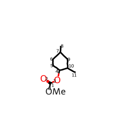 COC(=O)OC1CCC(C)CC1C